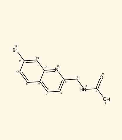 O=C(O)NCc1ccc2ccc(Br)cc2n1